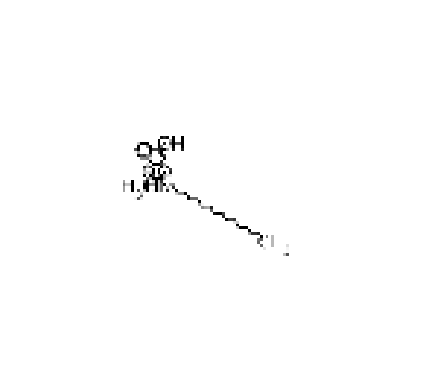 CCCCCCCCCCCCCCCCNC(=O)C(C)Oc1ccc(O)c2ccccc12